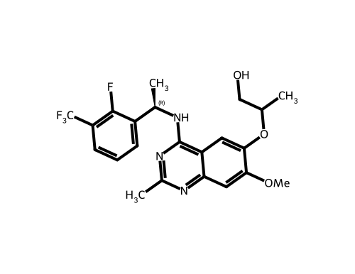 COc1cc2nc(C)nc(N[C@H](C)c3cccc(C(F)(F)F)c3F)c2cc1OC(C)CO